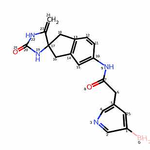 Bc1cncc(CC(=O)Nc2ccc3c(c2)CC2(C3)NC(=O)NC2=C)c1